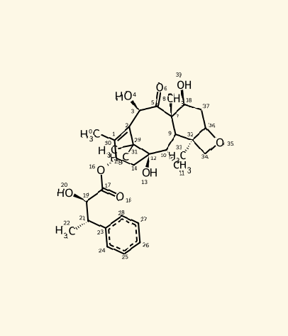 CC1=C2[C@@H](O)C(=O)[C@@]3(C)C([C@H](C)[C@](O)(C[C@@H]1OC(=O)[C@H](O)[C@@H](C)c1ccccc1)C2(C)C)[C@]1(C)COC1C[C@@H]3O